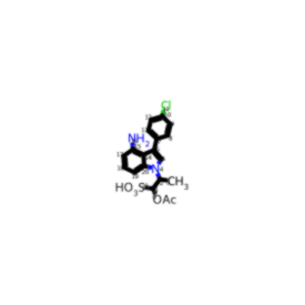 CC(=O)OC(C(C)n1cc(-c2ccc(Cl)cc2)c2c(N)cccc21)S(=O)(=O)O